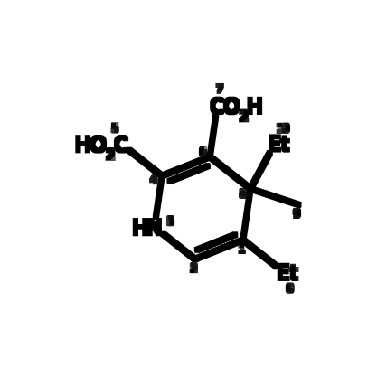 CCC1=CNC(C(=O)O)=C(C(=O)O)C1(C)CC